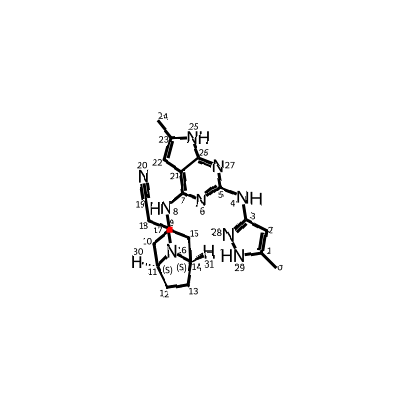 Cc1cc(Nc2nc(NC3C[C@@H]4CC[C@@H](C3)N4CCC#N)c3cc(C)[nH]c3n2)n[nH]1